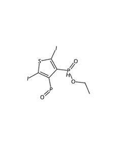 CCO[PH](=O)c1c(I)sc(I)c1P=O